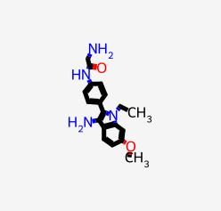 CCn1c(-c2ccc(NC(=O)CN)cc2)c(N)c2ccc(OC)cc21